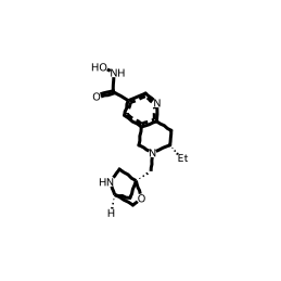 CC[C@H]1Cc2ncc(C(=O)NO)cc2CN1C[C@]12CN[C@H](CO1)C2